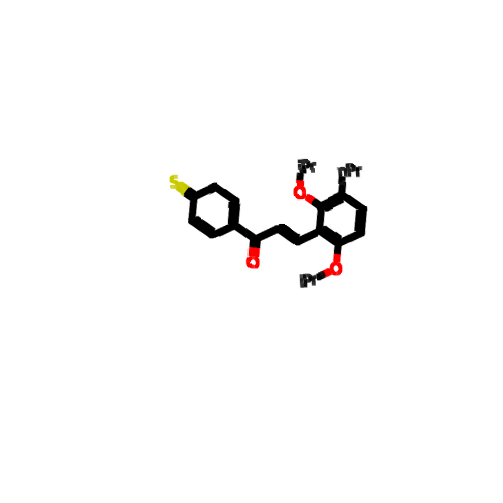 CCCc1ccc(OC(C)C)c(C=CC(=O)C2=CCC(=S)C=C2)c1OC(C)C